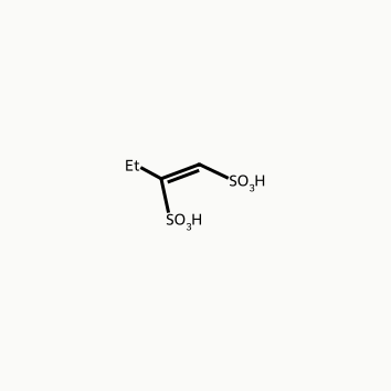 CCC(=CS(=O)(=O)O)S(=O)(=O)O